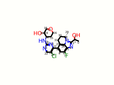 CC(O)c1nc2c(F)cc(-c3nc(N[C@@H]4CCOC[C@H]4O)ncc3Cl)c3c2n1[C@@H](C)CC3